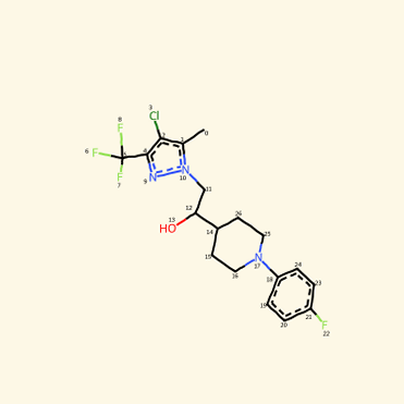 Cc1c(Cl)c(C(F)(F)F)nn1CC(O)C1CCN(c2ccc(F)cc2)CC1